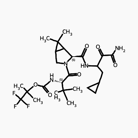 CC1(C)C2CN(C(=O)[C@@H](NC(=O)OC(C)(C)C(F)(F)F)C(C)(C)C)[C@H](C(=O)NC(CC3CC3)C(=O)C(N)=O)C21